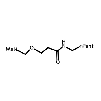 CCCCCCNC(=O)CCOCNC